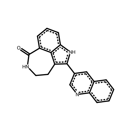 O=C1NCCc2c(-c3cnc4ccccc4c3)[nH]c3cccc1c23